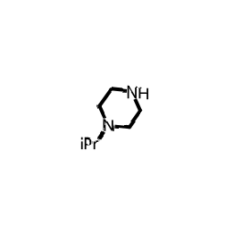 [CH2]C(C)N1CCNCC1